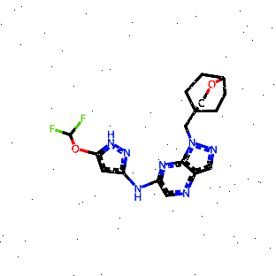 FC(F)Oc1cc(Nc2cnc3cnn(CC45CCC(CC4)OC5)c3n2)n[nH]1